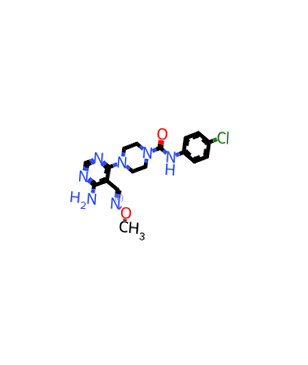 CO/N=C/c1c(N)ncnc1N1CCN(C(=O)Nc2ccc(Cl)cc2)CC1